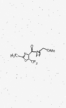 COCNC(=O)c1nc(C)oc1C(F)(F)F